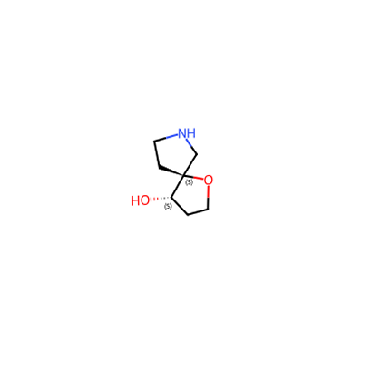 O[C@H]1CCO[C@]12CCNC2